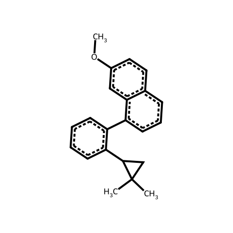 COc1ccc2cccc(-c3ccccc3C3CC3(C)C)c2c1